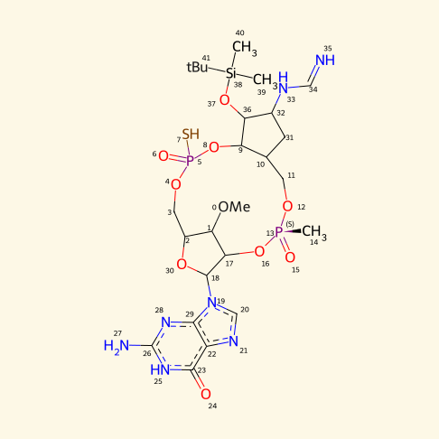 COC1C2COP(=O)(S)OC3C(CO[P@](C)(=O)OC1C(n1cnc4c(=O)[nH]c(N)nc41)O2)CC(NC=N)C3O[Si](C)(C)C(C)(C)C